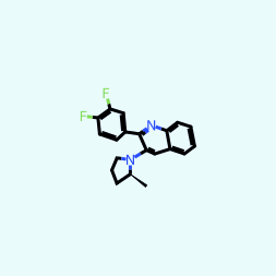 C[C@H]1CCCN1c1cc2ccccc2nc1-c1ccc(F)c(F)c1